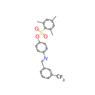 Cc1cc(C)c(S(=O)(=O)Oc2ccc(/N=C/c3cccc(C(F)(F)F)c3)cc2)c(C)c1